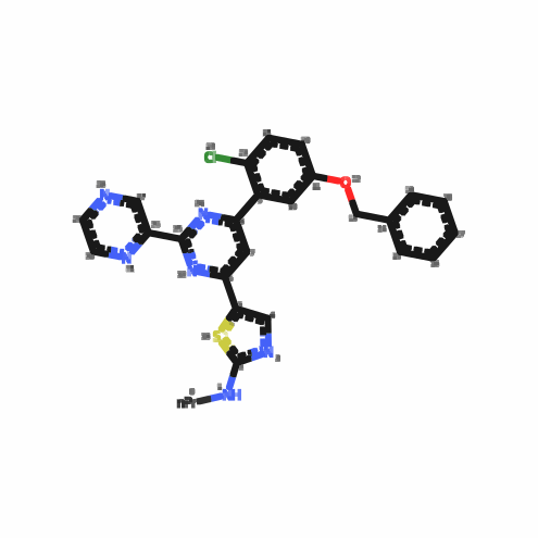 CCCNc1ncc(-c2cc(-c3cc(OCc4ccccc4)ccc3Cl)nc(-c3cnccn3)n2)s1